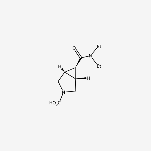 CCN(CC)C(=O)[C@H]1[C@@H]2CN(C(=O)O)C[C@@H]21